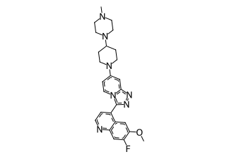 COc1cc2c(-c3nnc4cc(N5CCC(N6CCN(C)CC6)CC5)ccn34)ccnc2cc1F